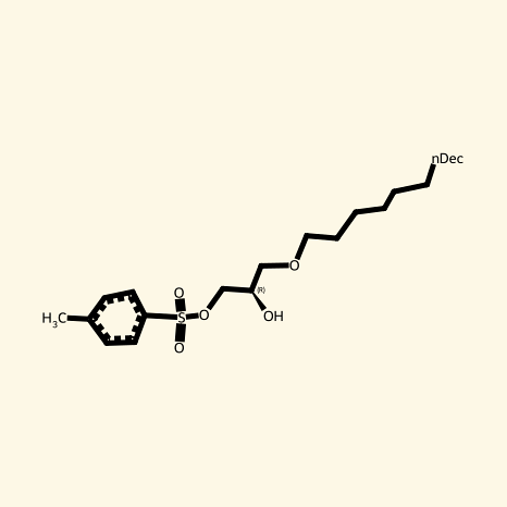 CCCCCCCCCCCCCCCCOC[C@@H](O)COS(=O)(=O)c1ccc(C)cc1